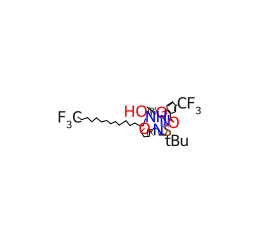 CC(C)(C)c1cn(C[C@H]2CCCO2)/c(=N/C(=O)c2cc(C(F)(F)F)ccc2OC[C@@H](CO)NCCCCCCCCCCCCCCCC(F)(F)F)s1